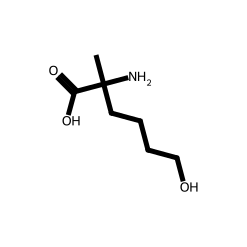 CC(N)(CCCCO)C(=O)O